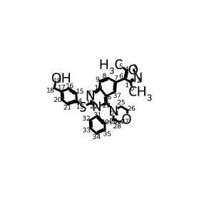 Cc1noc(C)c1-c1ccc2nc(Sc3ccc(CO)cc3)nc(N3CCOC[C@@H]3c3ccccc3)c2c1